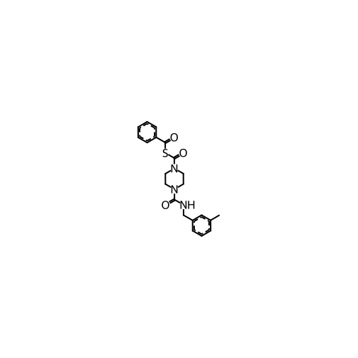 Cc1cccc(CNC(=O)N2CCN(C(=O)SC(=O)c3ccccc3)CC2)c1